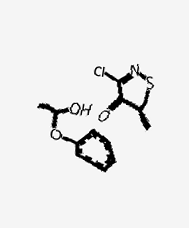 CC(O)Oc1ccccc1.CC1SN=C(Cl)C1=O